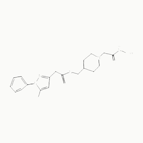 Cc1cc(CC(=O)NCC2CCN(CC(=O)NC(C)(C)C)CC2)nn1-c1ccccc1